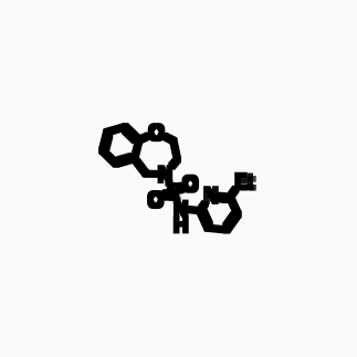 CCc1cccc(NS(=O)(=O)N2CCOc3ccccc3C2)n1